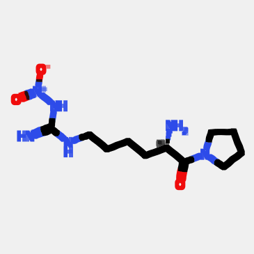 N=C(NCCCC[C@H](N)C(=O)N1CCCC1)N[N+](=O)[O-]